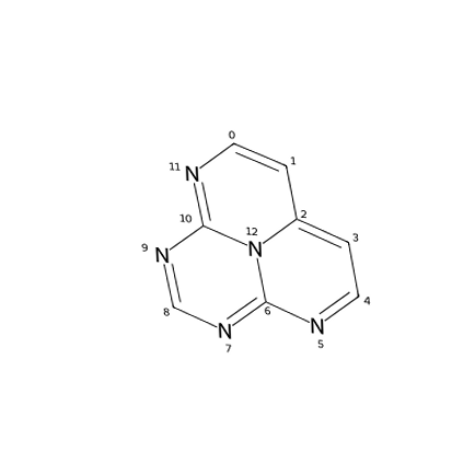 C1=CC2=CC=NC3=NC=NC(=N1)N23